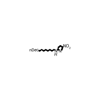 CCCCCCCCCCCCCCCCCCNc1ccc([N+](=O)[O-])cn1